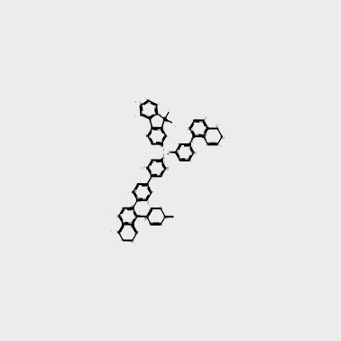 CC1C=CC(c2c(-c3ccc(-c4ccc(N(c5cccc(-c6cccc7c6C=CCC7)c5)c5ccc6c(c5)C(C)(C)c5ccccc5-6)cc4)cc3)ccc3c2=CCCC=3)=CC1